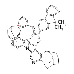 CC1(C)c2ccccc2-c2cc3c(cc21)c1cc2c4c5c(ncc4n4c6cnc7c(c6c(c1n3-c1ccccc1)c24)C1CC2CC(CC7C2)C1)C1CC2CC3CC5CC23C1